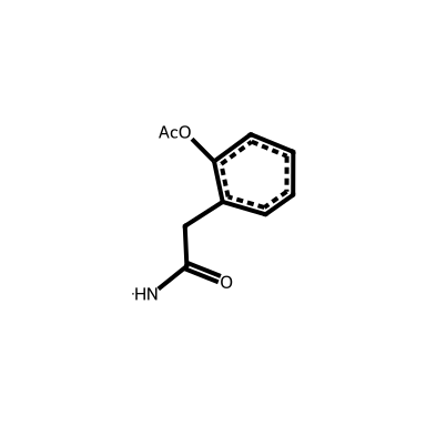 CC(=O)Oc1ccccc1CC([NH])=O